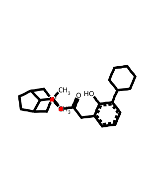 C[N+]1(C)CC2CCC(C1)C2COC(=O)Cc1cccc(C2CCCCC2)c1O